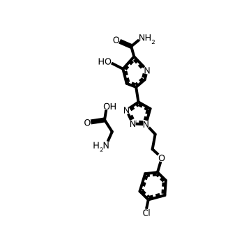 NC(=O)c1ncc(-c2cn(CCOc3ccc(Cl)cc3)nn2)cc1O.NCC(=O)O